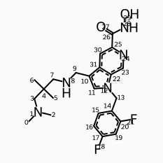 CN(C)CC(C)(C)CNCc1cn(Cc2ccc(F)cc2F)c2cnc(C(=O)NO)cc12